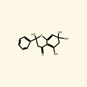 O=C1CC(O)(c2ccccc2)OC2=CC(O)(O)CC(O)=C12